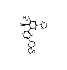 N#Cc1c(N)cc(-c2nccs2)nc1-c1cncc(N2CCC3(CCO3)C2)n1